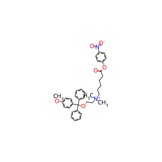 COc1ccc(C(OCC[N+](C)(C)CCCCCC(=O)Oc2ccc([N+](=O)[O-])cc2)(c2ccccc2)c2ccccc2)cc1